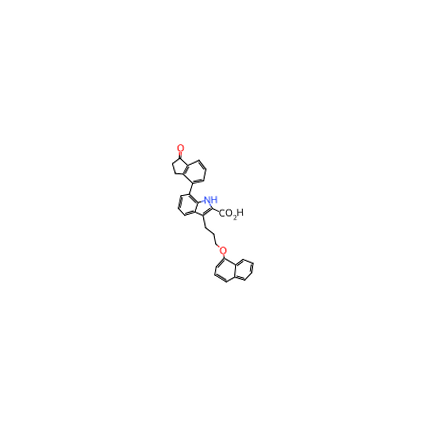 O=C1CCc2c1cccc2-c1cccc2c(CCCOc3cccc4ccccc34)c(C(=O)O)[nH]c12